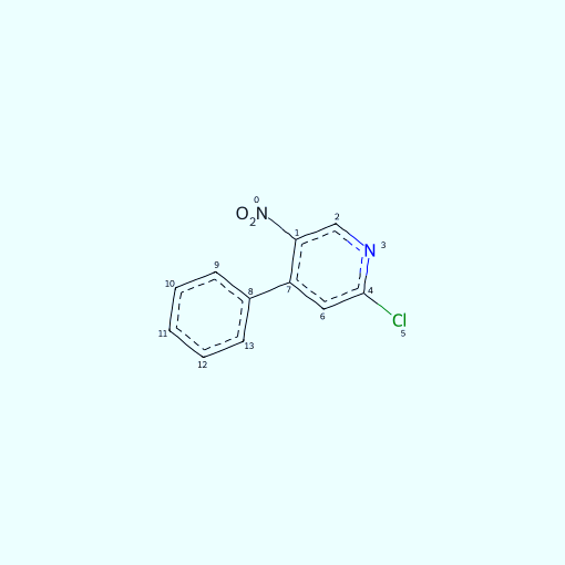 O=[N+]([O-])c1cnc(Cl)cc1-c1ccccc1